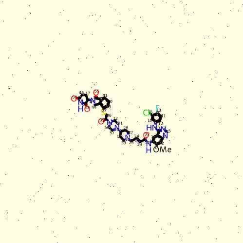 COc1cc2ncnc(Nc3ccc(F)c(Cl)c3)c2cc1NC(=O)/C=C/CN1CCC(N2CCN(C(=O)CSc3cccc4c3CN(C3CCC(=O)NC3=O)C4=O)CC2)CC1